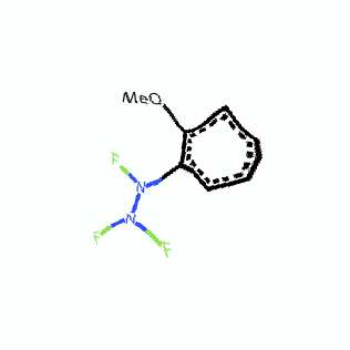 COc1ccccc1N(F)N(F)F